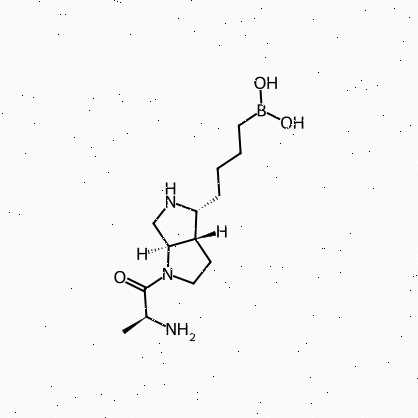 C[C@H](N)C(=O)N1CC[C@H]2[C@@H](CCCCB(O)O)NC[C@@H]21